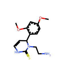 COc1ccc(C2C=CNC(=S)N2CCN)c(OC)c1